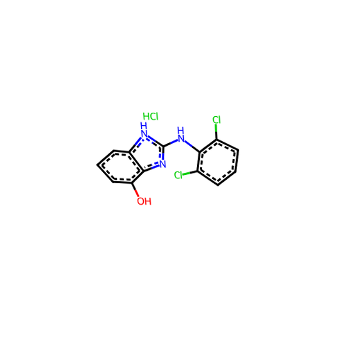 Cl.Oc1cccc2[nH]c(Nc3c(Cl)cccc3Cl)nc12